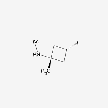 CC(=O)N[C@]1(C)C[C@H](I)C1